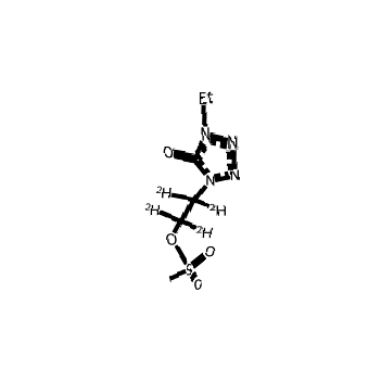 [2H]C([2H])(OS(C)(=O)=O)C([2H])([2H])n1nnn(CC)c1=O